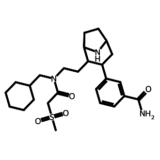 CS(=O)(=O)CC(=O)N(CCC1C2CCC(CC1c1cccc(C(N)=O)c1)N2)CC1CCCCC1